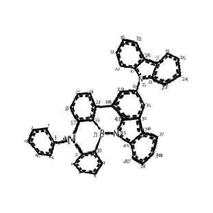 c1ccc(N2c3ccccc3B3c4c(cccc42)-c2cc(-n4c5ccccc5c5ccccc54)cc4c5ccccc5n3c24)cc1